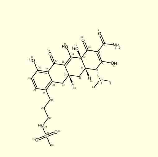 CN(C)[C@H]1C(O)=C(C(N)=O)C(=O)[C@@]2(O)C(O)=C3C(=O)c4c(O)ccc(CCCNS(C)(=O)=O)c4C[C@H]3C[C@@H]12